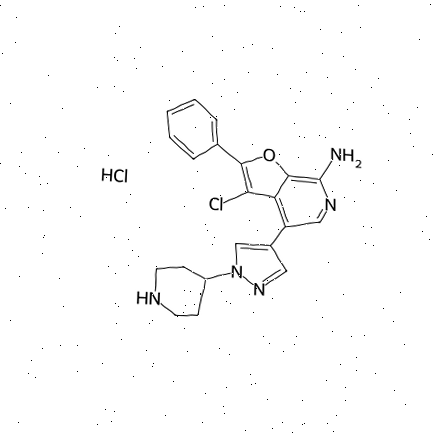 Cl.Nc1ncc(-c2cnn(C3CCNCC3)c2)c2c(Cl)c(-c3ccccc3)oc12